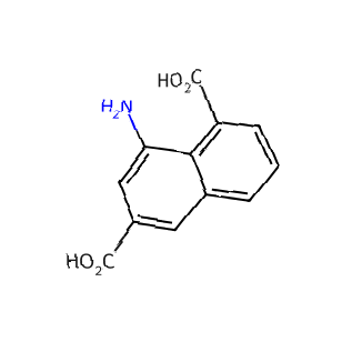 Nc1cc(C(=O)O)cc2cccc(C(=O)O)c12